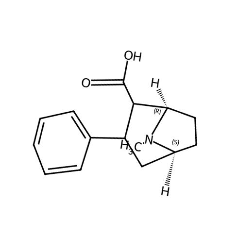 CN1[C@H]2CC[C@@H]1C(C(=O)O)C(c1ccccc1)C2